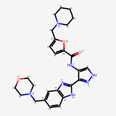 O=C(Nc1c[nH]nc1-c1nc2cc(CN3CCOCC3)ccc2[nH]1)c1ccc(CN2CCCCC2)o1